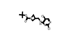 CC(C)(C)OC(=O)N1CC(CNc2nc(Cl)ncc2Cl)C1